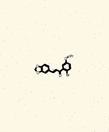 CCCOc1ccc(Br)c(C(=O)/C=C/c2ccc3c(c2)OCO3)c1